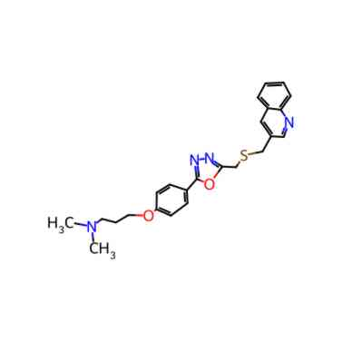 CN(C)CCCOc1ccc(-c2nnc(CSCc3cnc4ccccc4c3)o2)cc1